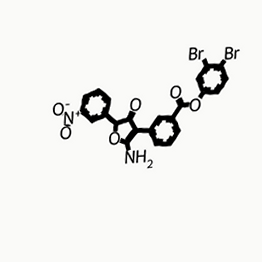 NC1=C(c2cccc(C(=O)Oc3ccc(Br)c(Br)c3)c2)C(=O)C(c2cccc([N+](=O)[O-])c2)O1